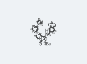 CCC(C)OC(=O)N1CCN(c2cc(-n3ccnc3)ncn2)CC1C(=O)NCc1ccc2c(c1)OCO2